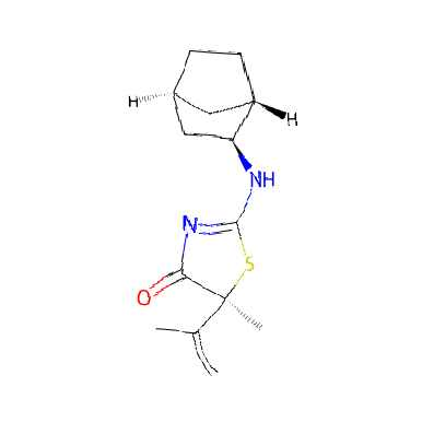 C=C(C)[C@]1(C)SC(N[C@H]2C[C@H]3CC[C@H]2C3)=NC1=O